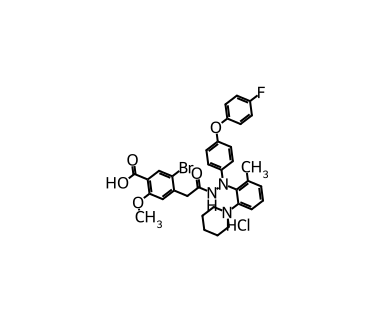 COc1cc(CC(=O)NN(c2ccc(Oc3ccc(F)cc3)cc2)c2c(C)cccc2N2CCCCC2)c(Br)cc1C(=O)O.Cl